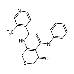 O=C1CSCC(NCc2ccncc2C(F)(F)F)=C1C(=S)Nc1ccccc1